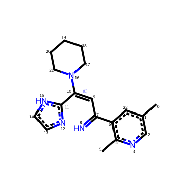 Cc1cnc(C)c(C(=N)/C=C(\c2ncc[nH]2)N2CCCCC2)c1